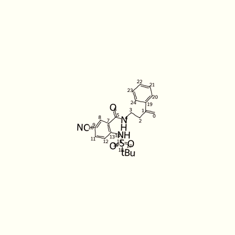 C=C(CCNC(=O)c1cc(C#N)ccc1NS(=O)(=O)C(C)(C)C)c1ccccc1